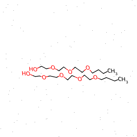 CCCCOCCOCCOCCO.CCCCOCCOCCOCCOCCO